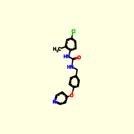 Cc1cc(Cl)ccc1NC(=O)NCc1ccc(Oc2ccncc2)cc1